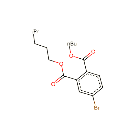 CCCCOC(=O)c1ccc(Br)cc1C(=O)OCCCC(C)C